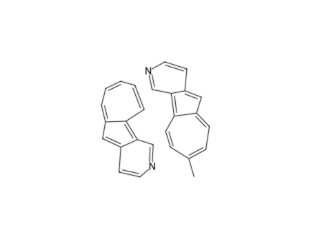 Cc1ccc2cc3ccncc3c-2cc1.c1ccc2cc3ccncc3c-2cc1